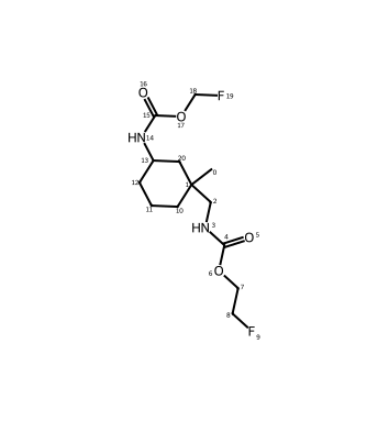 CC1(CNC(=O)OCCF)CCCC(NC(=O)OCF)C1